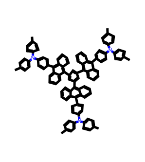 Cc1ccc(N(c2ccc(C)cc2)c2ccc(-c3c4ccccc4c(-c4cc(-c5c6ccccc6c(-c6ccc(N(c7ccc(C)cc7)c7ccc(C)cc7)cc6)c6ccccc56)cc(-c5c6ccccc6c(-c6ccc(N(c7ccc(C)cc7)c7ccc(C)cc7)cc6)c6ccccc56)c4)c4ccccc34)cc2)cc1